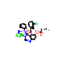 CC(=O)Oc1ccc2c(c1)C(Nc1ccccc1)(OCc1cccc(F)c1)N(Cl)C=N2